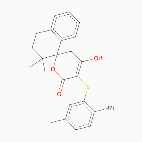 Cc1ccc(C(C)C)c(SC2=C(O)CC3(OC2=O)c2ccccc2CCC3(C)C)c1